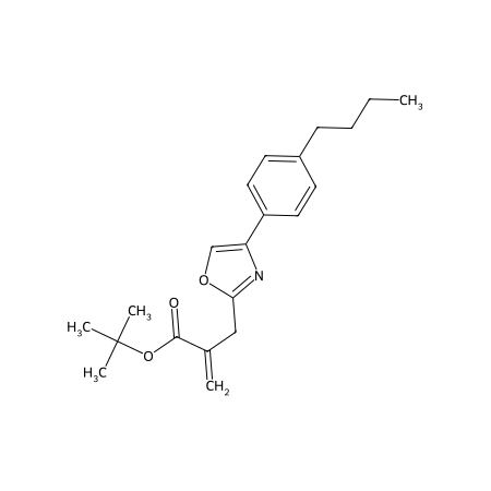 C=C(Cc1nc(-c2ccc(CCCC)cc2)co1)C(=O)OC(C)(C)C